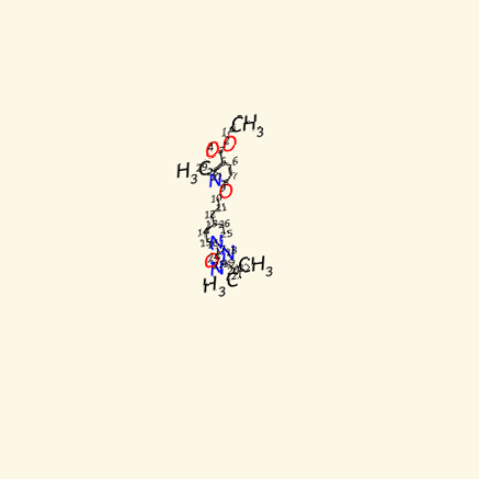 CCOC(=O)c1ccc(OCCCC2CCN(c3nc(C(C)C)no3)CC2)nc1C